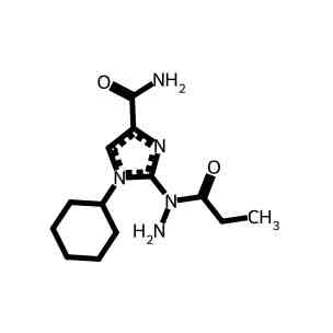 CCC(=O)N(N)c1nc(C(N)=O)cn1C1CCCCC1